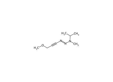 COCC#CN=NN(C)C(C)C